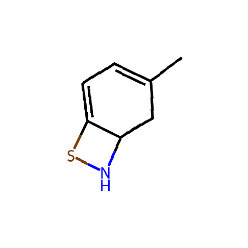 CC1=CC=C2SNC2C1